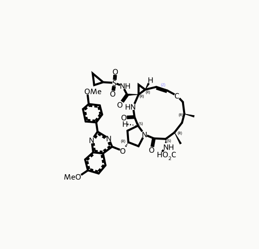 COc1ccc(-c2nc(O[C@@H]3C[C@H]4C(=O)N[C@]5(C(=O)NS(=O)(=O)C6CC6)C[C@@H]5/C=C\CC[C@@H](C)C[C@@H](C)[C@H](NC(=O)O)C(=O)N4C3)c3ccc(OC)cc3n2)cc1